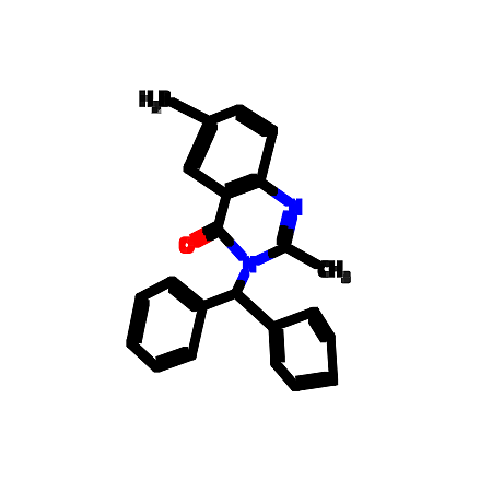 Bc1ccc2nc(C)n(C(c3ccccc3)c3ccccc3)c(=O)c2c1